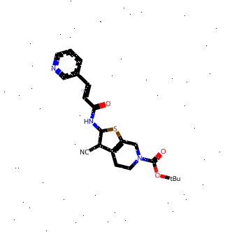 CC(C)(C)OC(=O)N1CCC2=C(C1)SC(NC(=O)/C=C/c1cccnc1)C2C#N